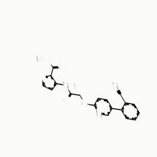 N#Cc1ccccc1-c1ccc(OCC(=O)Nc2ccsc2C(=O)O)nc1